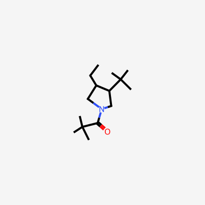 CCC1CN(C(=O)C(C)(C)C)CC1C(C)(C)C